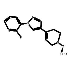 O=CON1CC=C(c2cn(-c3cccnc3F)nn2)CC1